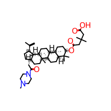 C=C(C)[C@@H]1CC[C@]2(CC(=O)N3CCN(C)CC3)CC[C@]3(C)[C@H](CC[C@@H]4[C@@]5(C)CC[C@H](OC(=O)CC(C)(C)CC(=O)O)C(C)(C)[C@@H]5CC[C@]43C)[C@@H]12